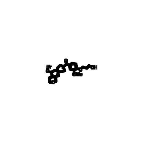 COc1cc(C(=O)N2CCC3(CC2)C[C@H](OC(C)C)c2ccccc2O3)ccc1OCCCO